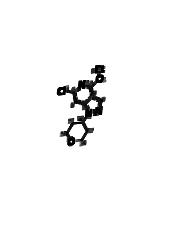 CCOc1nc(Cl)cc2c1cnn2C1CCOCC1